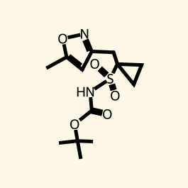 Cc1cc(CC2(S(=O)(=O)NC(=O)OC(C)(C)C)CC2)no1